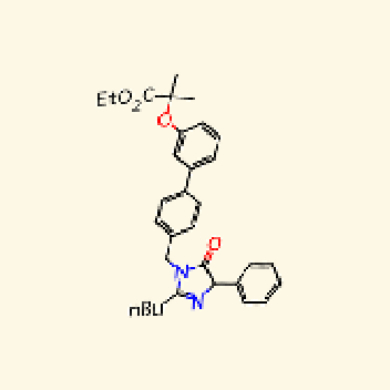 CCCCC1=NC(c2ccccc2)C(=O)N1Cc1ccc(-c2cccc(OC(C)(C)C(=O)OCC)c2)cc1